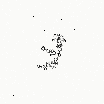 CCCN(Cc1nc2cc([C@H]3CC[C@@H](c4ccc5[nH]c([C@@H]6CCCN6C(=O)CNC(=O)OC)nc5c4)N3c3cc(F)c(N4CCC(c5ccccc5)CC4)c(F)c3)ccc2[nH]1)C(=O)C(NC(=O)OC)C(C)C